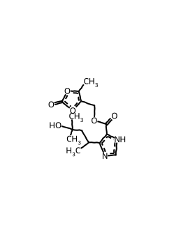 Cc1oc(=O)oc1COC(=O)c1[nH]cnc1C(C)CC(C)(C)O